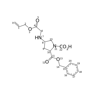 C=CCOC(=O)CNC1CC(C(=O)OCc2ccccc2)N(C(=O)O)C1